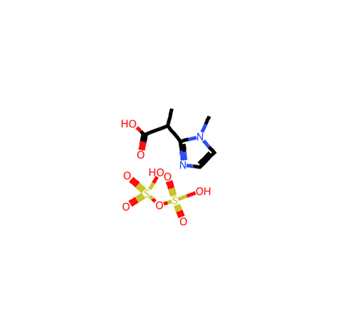 CC(C(=O)O)c1nccn1C.O=S(=O)(O)OS(=O)(=O)O